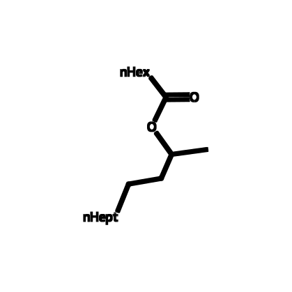 CCCCCCCCCC(C)OC(=O)CCCCCC